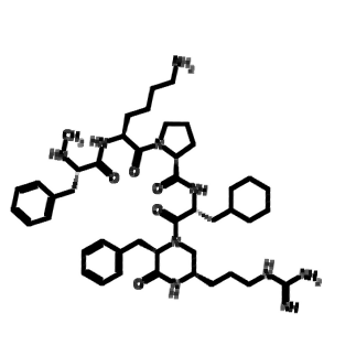 CN[C@@H](Cc1ccccc1)C(=O)N[C@@H](CCCCN)C(=O)N1CCC[C@H]1C(=O)N[C@H](CC1CCCCC1)C(=O)N1C[C@@H](CCCNC(=N)N)NC(=O)[C@H]1Cc1ccccc1